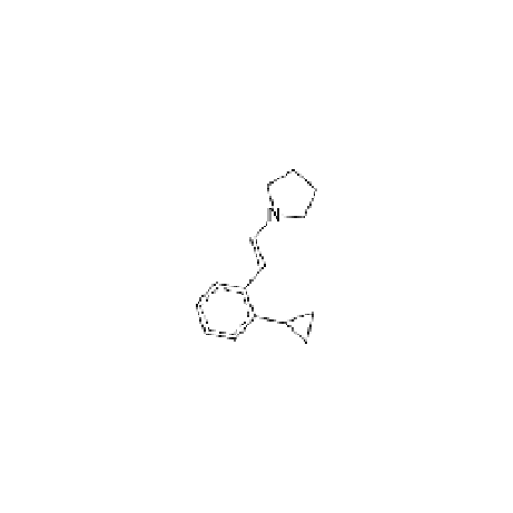 C(=CN1CCCC1)c1ccccc1C1CC1